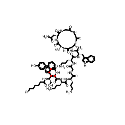 CC[C@H](C)[C@@H]1NC(=O)[C@@H](NC(=O)[C@H](Cc2c[nH]c3ccccc23)NC(=O)[C@@H](CCCN)NC(=O)CNC(=O)[C@H](CCCN)NC(=O)[C@@H](CCCN)NC(=O)[C@@H](Cc2c[nH]c3ccccc23)NC(=O)[C@@H](Cc2ccc(O)cc2)NC(=O)[C@@H](CO)NC(=O)CCCCCC(C)C)[C@H](C)OC(=O)CNC(=O)CNC(=O)[C@H](CC(N)=O)NC1=O